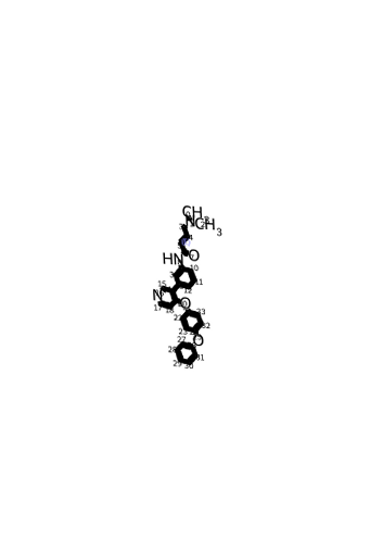 CN(C)C/C=C/C(=O)Nc1cccc(-c2cnccc2Oc2ccc(Oc3ccccc3)cc2)c1